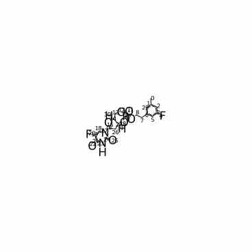 Cc1cc(F)cc(CCOP2(=O)OC[C@H]3O[C@@H](n4cc(F)c(=O)[nH]c4=O)C[C@@H]3O2)c1